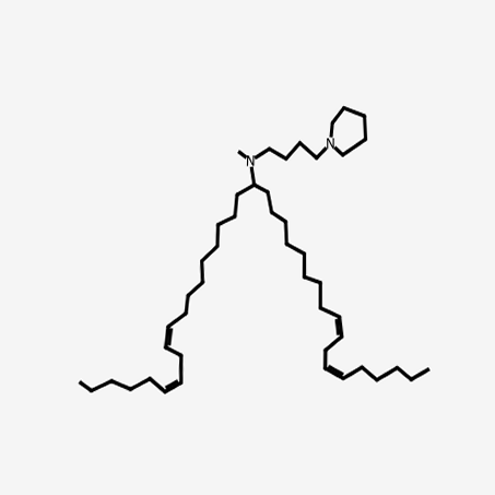 CCCCC/C=C\C/C=C\CCCCCCCCC(CCCCCCCC/C=C\C/C=C\CCCCC)N(C)CCCCN1CCCCC1